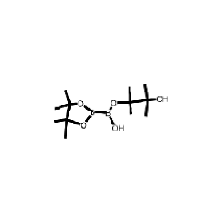 CC(C)(O)C(C)(C)OB(O)B1OC(C)(C)C(C)(C)O1